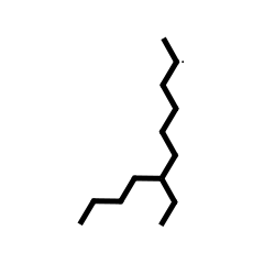 C[CH]CCCCC(CC)CCCC